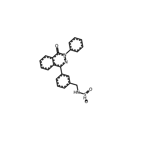 O=c1c2ccccc2c(-c2cccc(CN[SH](=O)=O)c2)nn1-c1ccccc1